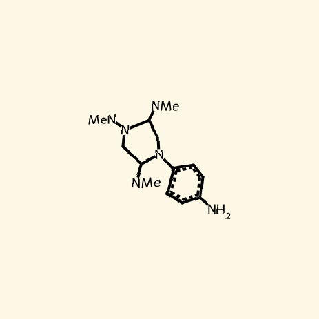 CNC1CN(c2ccc(N)cc2)C(NC)CN1NC